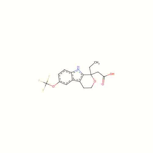 CCC1(CC(=O)O)OCCc2c1[nH]c1ccc(OC(F)(F)F)cc21